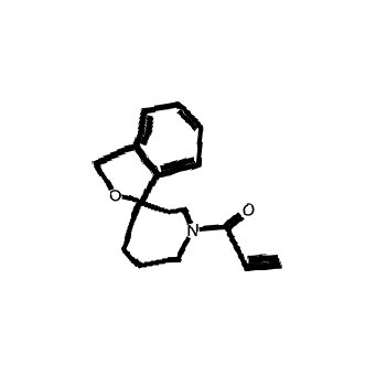 C=CC(=O)N1CCCC2(C1)OCc1ccccc12